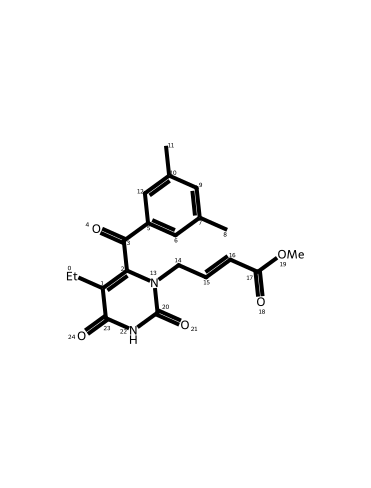 CCc1c(C(=O)c2cc(C)cc(C)c2)n(CC=CC(=O)OC)c(=O)[nH]c1=O